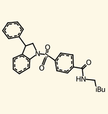 CCC(C)CNC(=O)c1ccc(S(=O)(=O)N2CC(c3ccccc3)c3ccccc32)cc1